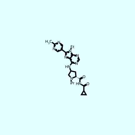 CCn1c(-c2cnc(C)nc2)nc2c(NC3C[C@H](C(=O)NC(=O)C4CC4)N(C(C)C)C3)ncnc21